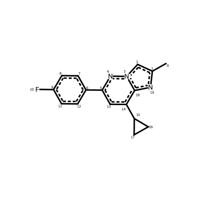 Cc1cn2nc(-c3ccc(F)cc3)cc(C3CC3)c2n1